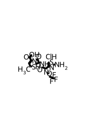 CC1C=C(C(=O)O)N2C(=O)C(NC(=O)/C(=N/OCC(F)(F)F)c3csc(N)n3)[C@H]2S1.Cl